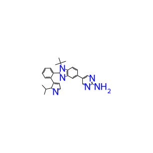 CC(C)C1N=CC=C1c1ccccc1-c1nc2cc(-c3cnc(N)nc3)ccc2n1C(C)(C)C